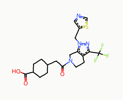 O=C(O)C1CCC(CC(=O)N2CCc3c(C(F)(F)F)nn(Cc4cncs4)c3C2)CC1